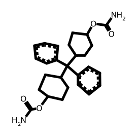 NC(=O)OC1CCC(C(c2ccccc2)(c2ccccc2)C2CCC(OC(N)=O)CC2)CC1